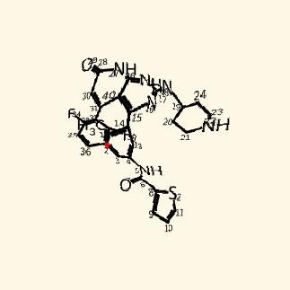 Cc1ccc(NC(=O)c2cccs2)cc1-c1nc(NC2CCNCC2)nc2[nH]c(=O)cc(-c3c(F)cccc3F)c12